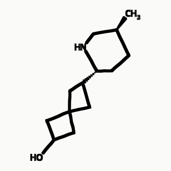 C[C@H]1CC[C@H](C2CC3(CC(O)C3)C2)NC1